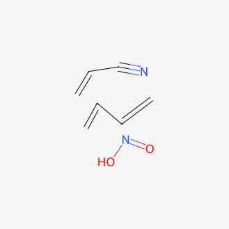 C=CC#N.C=CC=C.O=NO